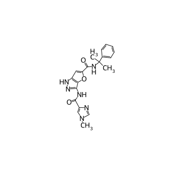 Cn1cnc(C(=O)Nc2n[nH]c3cc(C(=O)NC(C)(C)c4ccccc4)oc23)c1